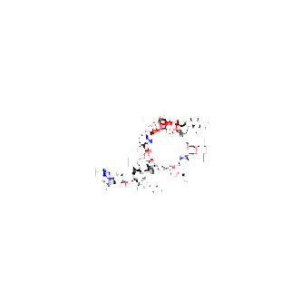 C=CCC1/C=C(\C)C(O)C(C)CC(OC)C2OC(O)(C(=O)C(=O)N3CCCCC3C(=O)OC(C(C)=CC3CCC(Oc4ccc5c(ccn5CC)c4)C(OC)C3)C(C)CCC1=O)C(C)CC2OC